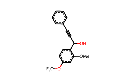 COc1cc(OC(F)(F)F)ccc1C(O)C#Cc1ccccc1